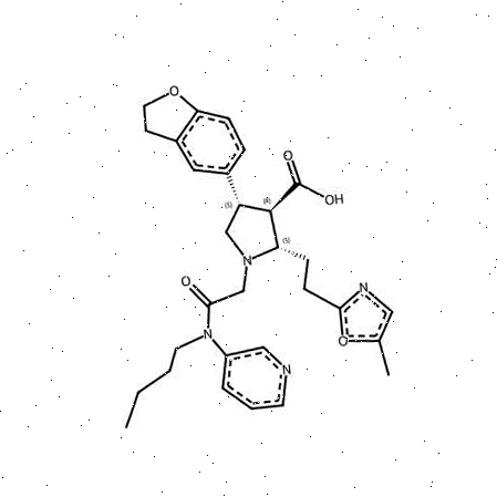 CCCCN(C(=O)CN1C[C@H](c2ccc3c(c2)CCO3)[C@@H](C(=O)O)[C@@H]1CCc1ncc(C)o1)c1cccnc1